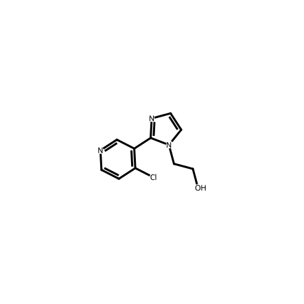 OCCn1ccnc1-c1cnccc1Cl